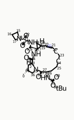 C[C@@H]1C[C@H]2C(=O)N[C@]3(C(=O)NS(=O)(=O)N4CCC4)C[C@H]3/C=C\CCCCC[C@H](NC(=O)OC(C)(C)C)C(=O)N2C1